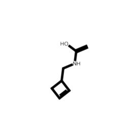 C=C(O)NCC1C=CC1